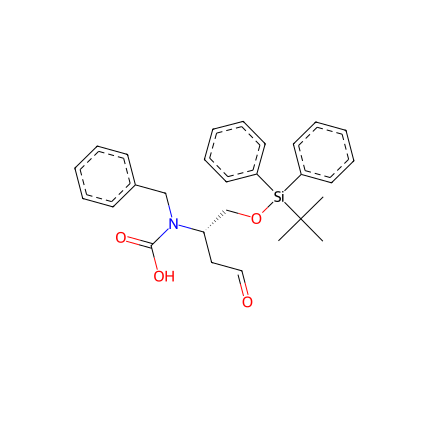 CC(C)(C)[Si](OC[C@H](CC=O)N(Cc1ccccc1)C(=O)O)(c1ccccc1)c1ccccc1